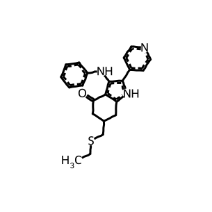 CCSCC1CC(=O)c2c([nH]c(-c3ccncc3)c2Nc2ccccc2)C1